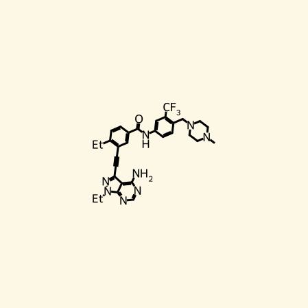 CCc1ccc(C(=O)Nc2ccc(CN3CCN(C)CC3)c(C(F)(F)F)c2)cc1C#Cc1nn(CC)c2ncnc(N)c12